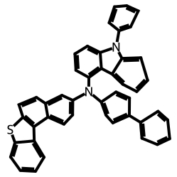 c1ccc(-c2ccc(N(c3ccc4c(ccc5sc6ccccc6c54)c3)c3cccc4c3c3ccccc3n4-c3ccccc3)cc2)cc1